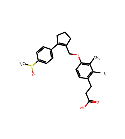 Cc1c(CCC(=O)O)ccc(OCC2=C(c3ccc([S+](C)[O-])cc3)CCC2)c1C